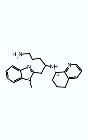 Cn1c(CC(CCCN)N[C@H]2CCCc3cccnc32)nc2ccccc21